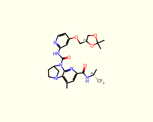 Cc1cc(C(=O)N[C@H](C)C(F)(F)F)nc2c1N1CCC(C1)N2C(=O)Nc1cc(OC[C@H]2COC(C)(C)O2)ccn1